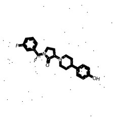 O=C1C(N2CCC(c3ccc(O)cc3)CC2)CCN1[C@H](F)c1cccc(F)c1